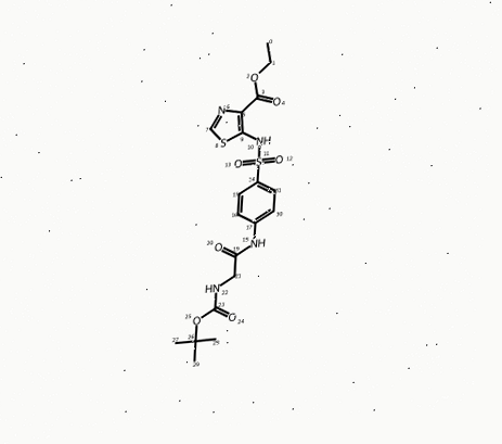 CCOC(=O)c1ncsc1NS(=O)(=O)c1ccc(NC(=O)CNC(=O)OC(C)(C)C)cc1